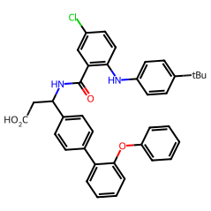 CC(C)(C)c1ccc(Nc2ccc(Cl)cc2C(=O)NC(CC(=O)O)c2ccc(-c3ccccc3Oc3ccccc3)cc2)cc1